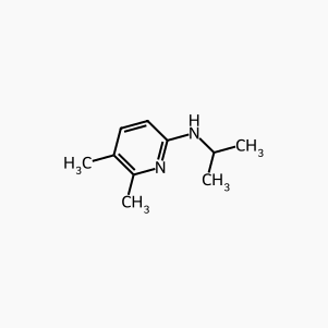 Cc1ccc(NC(C)C)nc1C